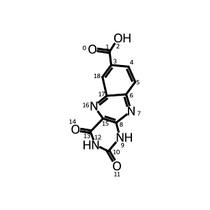 O=C(O)c1ccc2nc3[nH]c(=O)[nH]c(=O)c3nc2c1